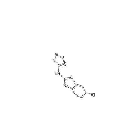 Clc1ccc2nc(Nc3nncs3)oc2c1